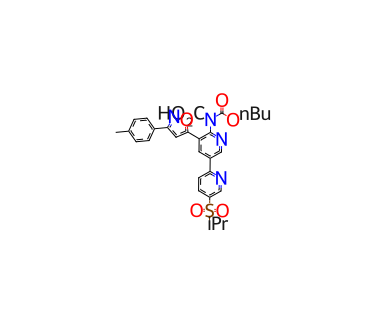 CCCCOC(=O)N(C(=O)O)c1ncc(-c2ccc(S(=O)(=O)C(C)C)cn2)cc1-c1cc(-c2ccc(C)cc2)no1